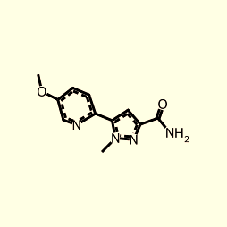 COc1ccc(-c2cc(C(N)=O)nn2C)nc1